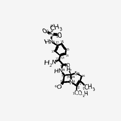 CC1=C(C(=O)O)N2C(=O)C(NC(=O)C(N)c3cccc(NS(C)(=O)=O)c3)[C@@H]2SC1